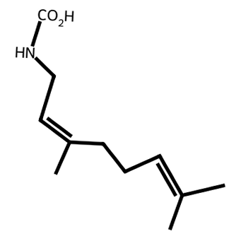 CC(C)=CCC/C(C)=C\CNC(=O)O